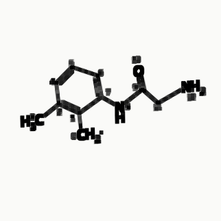 [CH2]c1c(C)cccc1NC(=O)CN